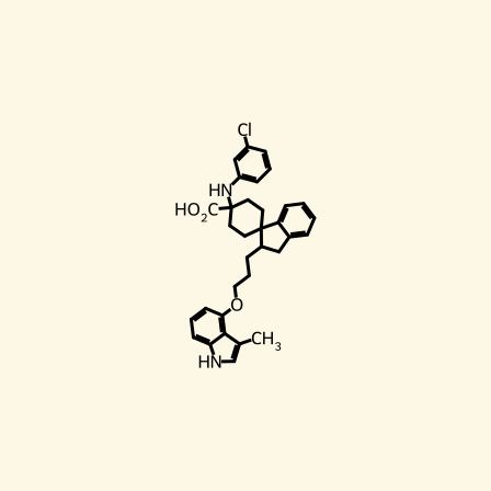 Cc1c[nH]c2cccc(OCCCC3Cc4ccccc4C34CCC(Nc3cccc(Cl)c3)(C(=O)O)CC4)c12